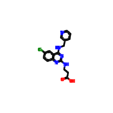 O=C(O)CCNc1nc(NCc2cccnc2)c2cc(Cl)ccc2n1